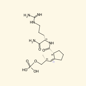 C[C@H](/C=C1/CCC[C@H]1C(=O)N[C@@H](CCCNC(=N)N)C(N)=O)COP(=O)(O)O